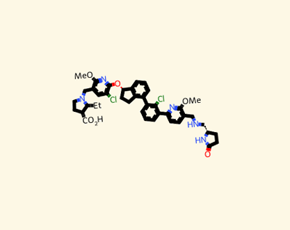 CCC1C(C(=O)O)CCN1Cc1cc(Cl)c(O[C@H]2CCc3c(-c4cccc(-c5ccc(CNC[C@@H]6CCC(=O)N6)c(OC)n5)c4Cl)cccc32)nc1OC